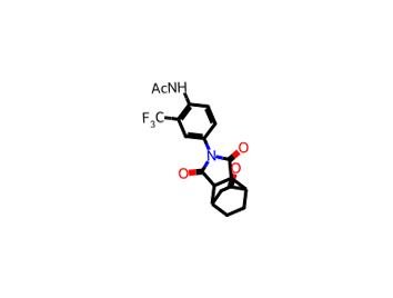 CC(=O)Nc1ccc(N2C(=O)C3C4CCC(C(=O)C4)C3C2=O)cc1C(F)(F)F